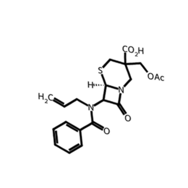 C=CCN(C(=O)c1ccccc1)C1C(=O)N2CC(COC(C)=O)(C(=O)O)CS[C@H]12